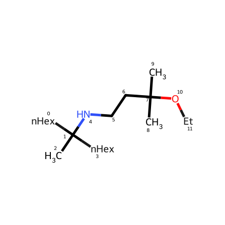 CCCCCCC(C)(CCCCCC)NCCC(C)(C)OCC